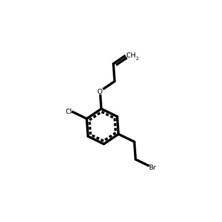 C=CCOc1cc(CCBr)ccc1Cl